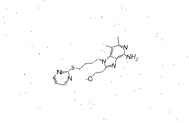 COCCc1nc2c(N)nc(C)c(C)c2n1CCCCSc1ncccn1